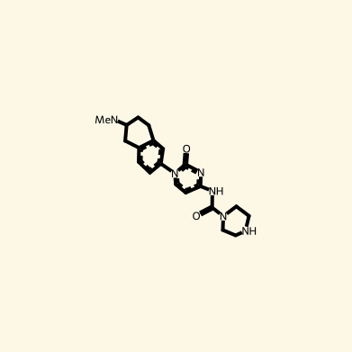 CNC1CCc2cc(-n3ccc(NC(=O)N4CCNCC4)nc3=O)ccc2C1